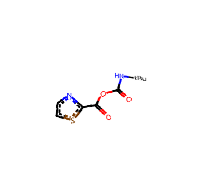 CC(C)(C)NC(=O)OC(=O)c1nccs1